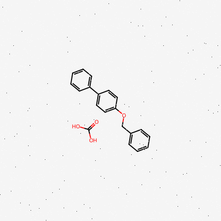 O=C(O)O.c1ccc(COc2ccc(-c3ccccc3)cc2)cc1